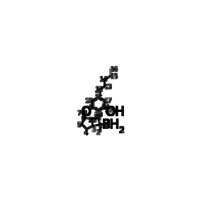 BC1(C)C2CCC3(C)Oc4cc(CCCCC)cc(O)c4C1C23